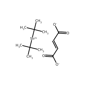 C[C](C)(C)[Sn+2][C](C)(C)C.O=C([O-])C=CC(=O)[O-]